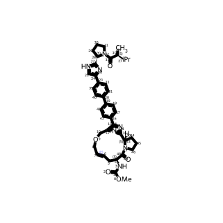 COC(=O)N[C@H]1C/C=C/COCc2[nH]c(nc2-c2ccc(-c3ccc(-c4c[nH]c([C@@H]5CCCN5C(=O)[C@@H](C)C(C)C)n4)cc3)cc2)[C@@H]2CCCN2C1=O